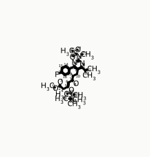 COC(=O)C/C(=C/C(=O)CCc1c(-c2ccc(F)cc2)nc(N(C)S(C)(=O)=O)nc1C(C)C)O[Si](C)(C)C(C)(C)C